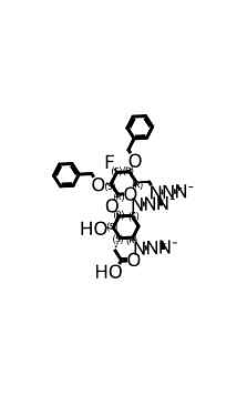 [N-]=[N+]=NC[C@H]1O[C@H](O[C@H]2[C@@H](O)[C@@H](CC(=O)O)[C@H](N=[N+]=[N-])C[C@@H]2N=[N+]=[N-])[C@H](OCc2ccccc2)[C@@H](F)[C@@H]1OCc1ccccc1